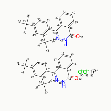 CC(C)(C)c1ccc(-c2n[nH]c(=O)c3ccccc23)c(C(C)(C)C)c1.CC(C)(C)c1ccc(-c2n[nH]c(=O)c3ccccc23)c(C(C)(C)C)c1.[Cl-].[Cl-].[Ti+2]